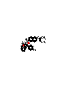 CCC(C)Oc1ccc2cc(S(=O)(=O)N[C@@H](C(=O)N3C4CCC3CC(N)C4)C(F)(F)c3ccc(Br)cc3)ccc2c1